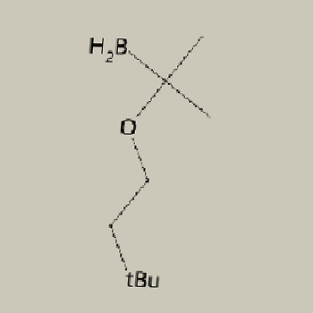 BC(C)(C)OCCC(C)(C)C